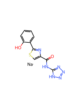 O=C(Nc1nnn[nH]1)c1csc(-c2ccccc2O)n1.[Na]